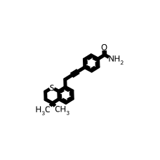 CC1(C)CCSc2c(CC#Cc3ccc(C(N)=O)cc3)cccc21